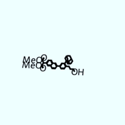 COC(=O)C(C(=O)OC)c1ccc2cc(-c3ccc(CCCO)c(C45CC6CC(CC(C6)C4)C5)c3)ccc2c1